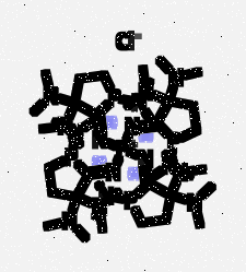 CN(C)P1CCC(N(C)C)(N(C)C)/C1=N/[P+](/N=C1\P(N(C)C)CCC1(N(C)C)N(C)C)(/N=C1\P(N(C)C)CCC1(N(C)C)N(C)C)/N=C1\P(N(C)C)CCC1(N(C)C)N(C)C.[Cl-]